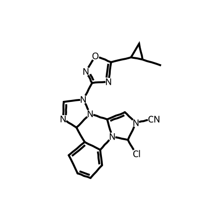 CC1CC1c1nc(N2C=NC3c4ccccc4N4C(=CN(C#N)C4Cl)N32)no1